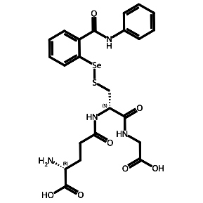 N[C@H](CCC(=O)N[C@H](CS[Se]c1ccccc1C(=O)Nc1ccccc1)C(=O)NCC(=O)O)C(=O)O